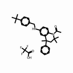 CC(=O)N1c2ccc(NCc3ccc(C(C)(C)C)cc3)cc2C(C)(c2ccccc2)CC1(C)C.O=C(O)C(F)(F)F